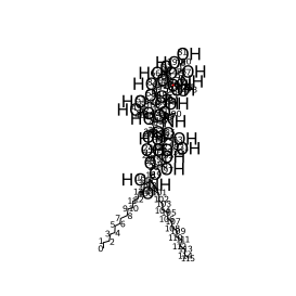 CCCCCCCCCCCCC/C=C/[C@@H](O)[C@H](CO[C@@H]1OC(CO)[C@@H](O[C@@H]2OC(CO)[C@H](O)[C@H](O[C@@H]3OC(CO)[C@@H](O)[C@H](O[C@@H]4OC(CO)[C@H](O)[C@H](O[C@@H]5OC(CO)[C@H](O)[C@H](O[C@]6(C(=O)O)CC(O)[C@@H](NC(C)=O)C([C@H](O)[C@H](O)CO)O6)C5O)C4O)C3NC(C)=O)C2O)[C@H](O)C1O)NC(=O)CCCCCCCCCCCCCCC